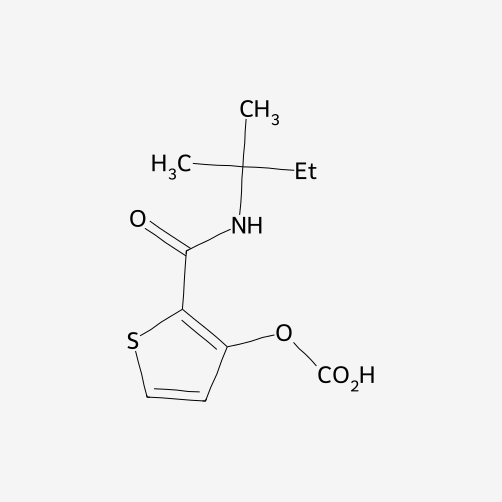 CCC(C)(C)NC(=O)c1sccc1OC(=O)O